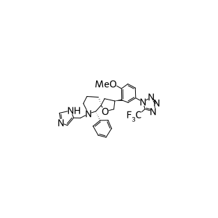 COc1ccc(-n2nnnc2C(F)(F)F)cc1[C@H]1CO[C@]2(CCCN(Cc3cnc[nH]3)[C@H]2c2ccccc2)C1